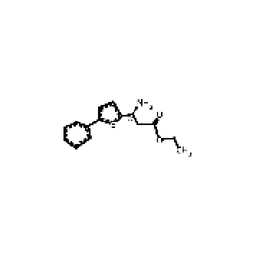 CCOC(=O)C[C@H](N)c1ccc(-c2ccccc2)s1